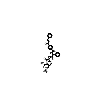 CC(=O)OCC1=C(C(=O)O)N2C(=O)C(NC(=O)C(NC(=O)c3ccc(C(=O)C=Cc4ccccc4)cc3)c3ccccc3)C2SC1